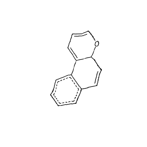 C1=COC2C=Cc3ccccc3C2=C1